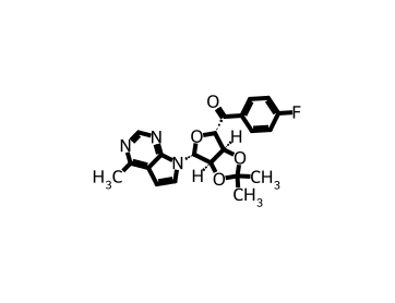 Cc1ncnc2c1ccn2[C@@H]1O[C@H](C(=O)c2ccc(F)cc2)[C@H]2OC(C)(C)O[C@H]21